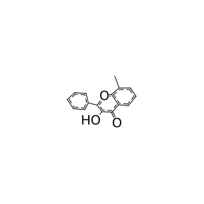 Cc1cccc2c(=O)c(O)c(-c3ccccc3)oc12